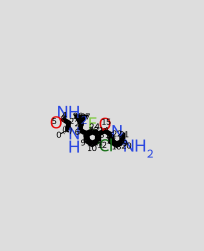 C[C@H](CC(N)=O)NC(c1ccc(Cl)c(C(=O)c2ccc(N)cn2)c1F)C1CC1